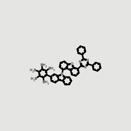 Bc1c(B)c(B)c(-c2ccc3c4ccccc4n(-c4cccc5oc6c(-c7nc(-c8ccccc8)nc(-c8ccccc8)n7)cccc6c45)c3c2)c(B)c1B